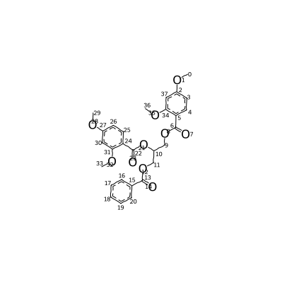 COc1ccc(C(=O)OCC(COC(=O)c2ccccc2)OC(=O)c2ccc(OC)cc2OC)c(OC)c1